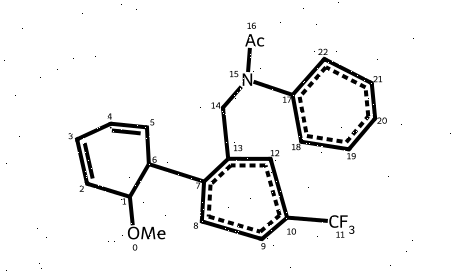 COC1C=C[C]=CC1c1ccc(C(F)(F)F)cc1CN(C(C)=O)c1ccccc1